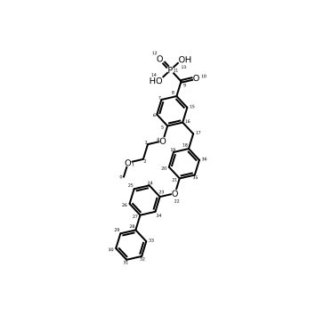 COCCOc1ccc(C(=O)P(=O)(O)O)cc1Cc1ccc(Oc2cccc(-c3ccccc3)c2)cc1